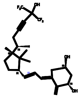 C=C1C(=C/C=C/[C@@H]2CC[C@](C)([C@@H](C)CC#CC(O)(C(F)(F)F)C(F)(F)F)C2(C)C)C[C@@H](O)C[C@@H]1O